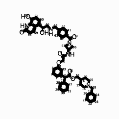 O=C(COc1cccc(C(C(=O)OCC2CCN(Cc3ccccc3)CC2)c2ccccc2)c1)NC1CN(C(=O)c2ccc(CNC[C@H](O)c3ccc(O)c4[nH]c(=O)ccc34)cc2)C1